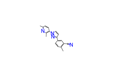 Cc1ccc(-n2ccc(-c3ccc(C)c(C#N)c3)n2)c(C)n1